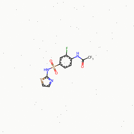 O=C(Nc1ccc(S(=O)(=O)Nc2nccs2)cc1F)C(F)(F)F